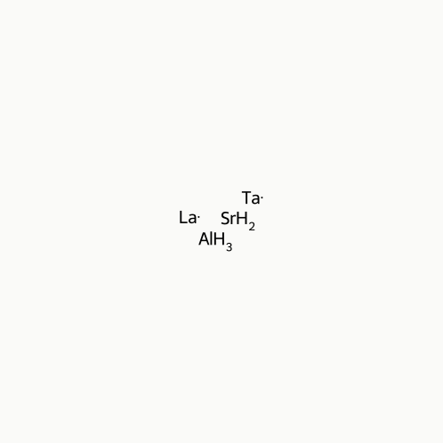 [AlH3].[La].[SrH2].[Ta]